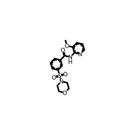 COc1cccnc1NC(=O)c1cccc(S(=O)(=O)N2CCOCC2)c1